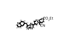 CCOC(=O)N1CCC(CC#N)(n2cc(-c3cnc4ncc(Cc5ccc6ncccc6c5)n4n3)cn2)CC1